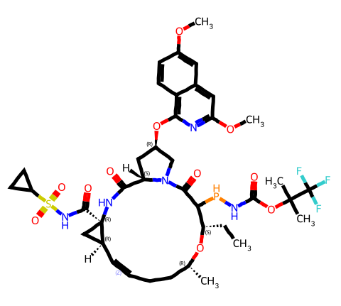 CC[C@@H]1O[C@H](C)CC/C=C\[C@H]2C[C@@]2(C(=O)NS(=O)(=O)C2CC2)NC(=O)[C@@H]2C[C@@H](Oc3nc(OC)cc4cc(OC)ccc34)CN2C(=O)C1PNC(=O)OC(C)(C)C(F)(F)F